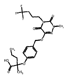 CCCC(C)(Oc1ccc(COc2nn(C)c(=O)n(CCCC(F)(F)F)c2=O)cc1)C(=O)O